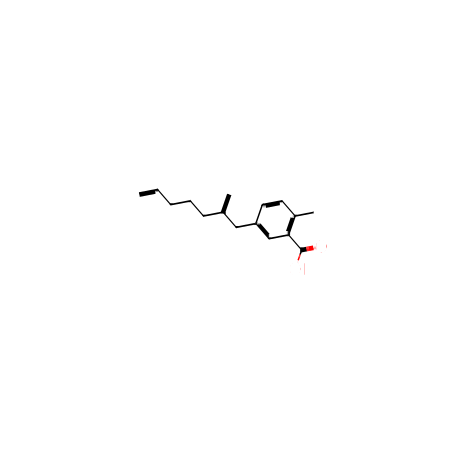 C=CCCCC(=C)Cc1ccc(C)c(C(=O)O)c1